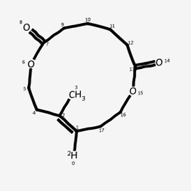 [2H]/C1=C(/C)CCOC(=O)CCCCC(=O)OCC1